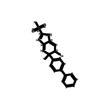 CC1(c2ccc(-c3ccccc3)cc2)N=c2nc(S(C)(=O)=O)[nH]c2=CC1I